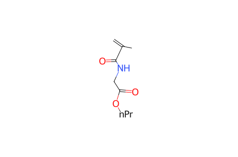 C=C(C)C(=O)NCC(=O)OCCC